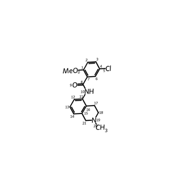 COc1ccc(Cl)cc1C(=O)Nc1cccc2c1CCN(C)C2